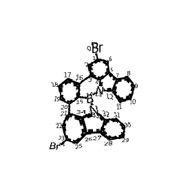 Brc1cc2c3c(c1)c1ccccc1n3B1c3c-2cccc3-c2cc(Br)cc3c4ccccc4n1c23